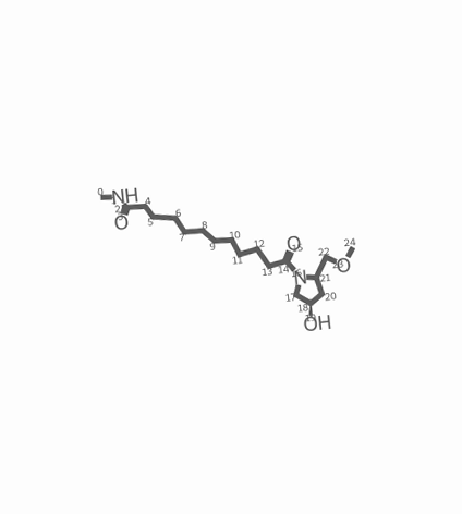 CNC(=O)CCCCCCCCCCC(=O)N1C[C@H](O)CC1COC